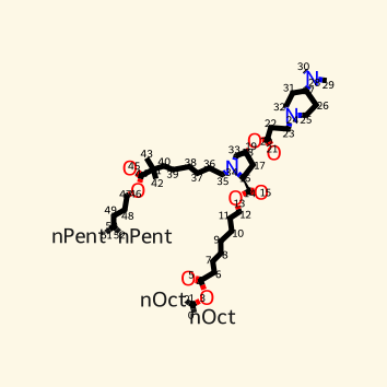 CCCCCCCCC(CCCCCCCC)OC(=O)CCCCCCCOC(=O)[C@@H]1C[C@H](OC(=O)CCN2CCC(N(C)C)CC2)CN1CCCCCCC(C)(C)C(=O)OCCCC(CCCCC)CCCCC